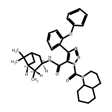 C[C@@H]1[C@H]2CC(C[C@H]1NC(=O)c1c(-c3ccccc3Oc3ccccc3)nnn1C(=O)N1CCCC3CCCCC31)C2(C)C